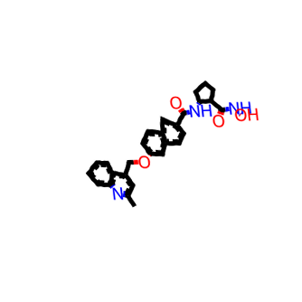 Cc1cc(COc2ccc3cc(C(=O)NC4CCCC4C(=O)NO)ccc3c2)c2ccccc2n1